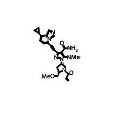 C=CC(=O)N1C[C@@H](n2nc(C#Cc3ccc(C4CC4)c4cncn34)c(C(N)=O)c2NC)C[C@@H]1COC